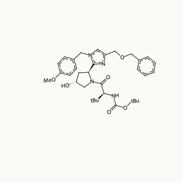 COc1ccc(Cn2cc(COCc3ccccc3)nc2[C@@H]2C[C@@H](O)CN2C(=O)[C@@H](NC(=O)OC(C)(C)C)C(C)(C)C)cc1